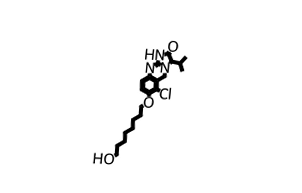 CC(C)C1C(=O)NC2=Nc3ccc(OCCCCCCCCO)c(Cl)c3CN21